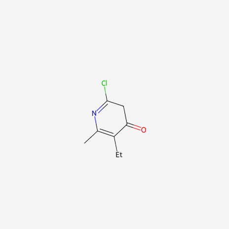 CCC1=C(C)N=C(Cl)CC1=O